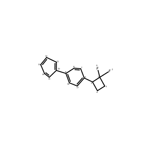 FC1(F)CCC1c1ccc(-c2ccccc2)cc1